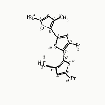 Cc1cc(C(C)(C)C)sc1-c1cc(Br)c(-c2sc(C(C)C)cc2C)s1